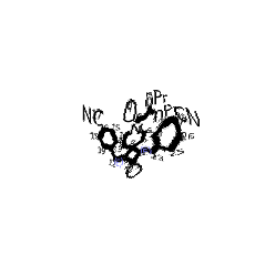 CCCC(CCC)C(=O)N1CCC2(CC1)/C(=C\c1ccc(C#N)cc1)C(=O)/C2=C/c1ccc(C#N)cc1